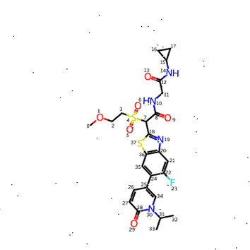 COCCS(=O)(=O)C(C(=O)NCC(=O)NC1CC1)c1nc2cc(F)c(-c3ccc(=O)n(C(C)C)c3)cc2s1